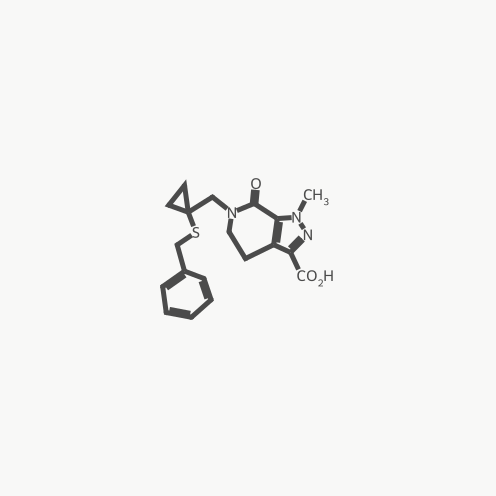 Cn1nc(C(=O)O)c2c1C(=O)N(CC1(SCc3ccccc3)CC1)CC2